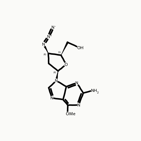 COc1nc(N)nc2c1ncn2[C@H]1C[C@@H](N=[N+]=[N-])[C@@H](CO)O1